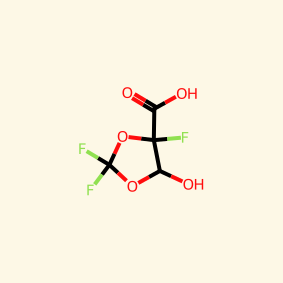 O=C(O)C1(F)OC(F)(F)OC1O